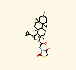 C[C@H]1CC[C@@H]2C3CC[C@@]4(C)C([C@@H]3CC[C@@H]2C1)[C@H](C1CC1)C[C@@H]4C(=O)CN1C(=O)CSC1=O